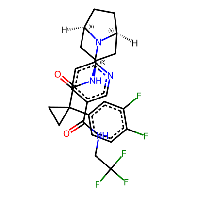 O=C(NCC(F)(F)F)c1ccc(N2[C@@H]3CC[C@H]2C[C@@H](NC(=O)C2(c4ccc(F)c(F)c4)CC2)C3)nc1